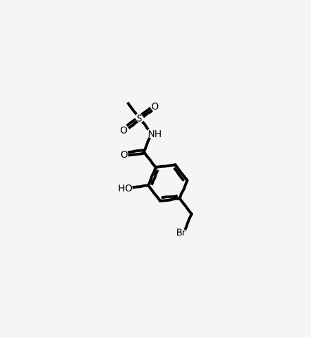 CS(=O)(=O)NC(=O)c1ccc(CBr)cc1O